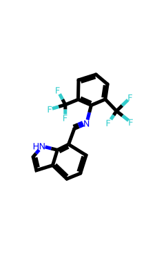 FC(F)(F)c1cccc(C(F)(F)F)c1/N=C/c1cccc2cc[nH]c12